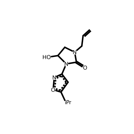 C=CCN1CC(O)N(c2cc(C(C)C)on2)C1=O